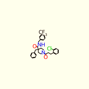 O=C(CCc1ccccc1Cl)N1CCC(Cc2ccccc2)(C(=O)NCc2cccc(C(F)(F)F)c2)CC1